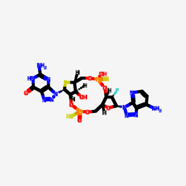 Nc1nc2c(nnn2[C@@H]2S[C@@H]3COP(O)(=S)O[C@H]4[C@H](F)[C@H](n5nnc6c(N)ccnc65)O[C@@H]4COP(=O)(S)O[C@@H]2[C@@H]3O)c(=O)[nH]1